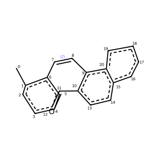 Cc1ccccc1/C=C\c1c(C=O)ccc2ccccc12